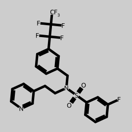 O=S(=O)(c1cccc(F)c1)N(CCc1cccnc1)Cc1cccc(C(F)(F)C(F)(F)C(F)(F)F)c1